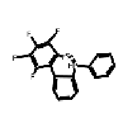 Fc1c(F)c(F)c(-c2ccccc2[PH](=[Se])c2ccccc2)c(F)c1F